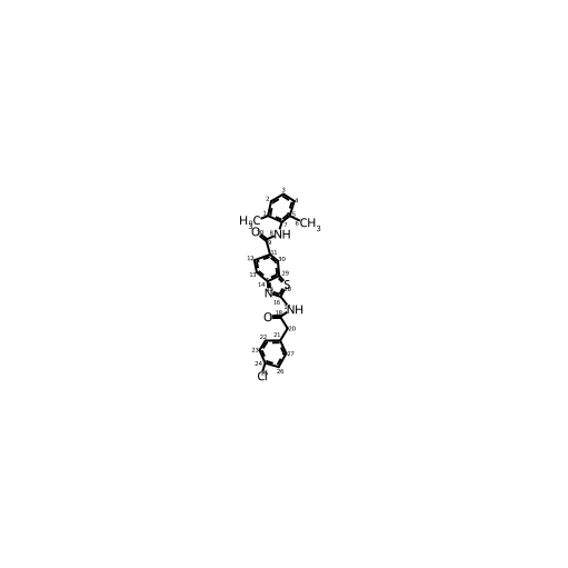 Cc1cccc(C)c1NC(=O)c1ccc2nc(NC(=O)Cc3ccc(Cl)cc3)sc2c1